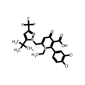 CCn1c(Cn2nc(C(F)(F)F)cc2C(C)(C)C)cc(=O)c(C(=O)O)c1-c1ccc(Cl)c(Cl)c1